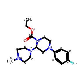 CCOC(=O)N1CCN(c2ccc(F)cc2)CC1N1CCN(C)CC1